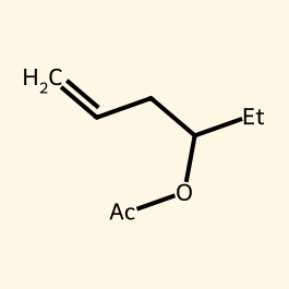 C=CCC(CC)OC(C)=O